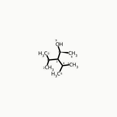 CC(C)C(C(C)C)[C@H](C)O